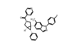 Cc1cc2c(cnn2-c2ccc(F)cc2)cc1[C@@]12CN(C(=O)c3ccncc3)C[C@@H]1[C@H]2c1ccccc1